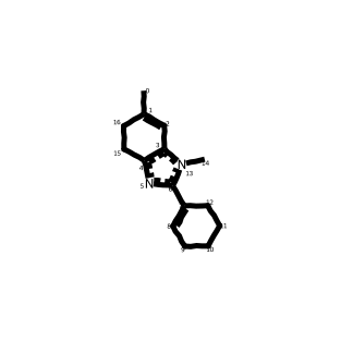 CC1=Cc2c(nc(C3=CCCCC3)n2C)CC1